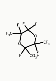 O=C(O)C1(F)OC(F)(C(F)(F)F)C(F)(F)OC1(F)C(F)(F)F